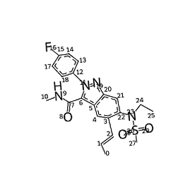 CC=Cc1cc2c(C(=O)NC)n(-c3ccc(F)cc3)nc2cc1N(CC)S(C)(=O)=O